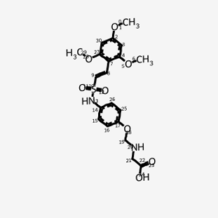 COc1cc(OC)c(C=CS(=O)(=O)Nc2ccc(OCNCC(=O)O)cc2)c(OC)c1